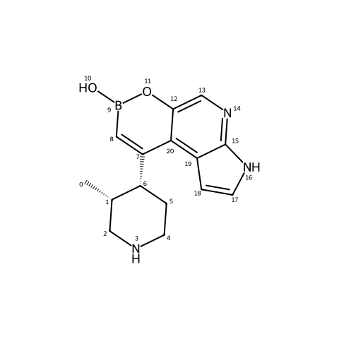 C[C@H]1CNCC[C@H]1C1=CB(O)Oc2cnc3[nH]ccc3c21